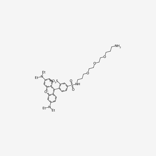 CCN(CC)c1ccc2c(-c3ccc(S(=O)(=O)NCCCOCCOCCOCCCN)cc3S(=O)(=O)O)c3ccc(N(CC)CC)cc3[o+]c2c1